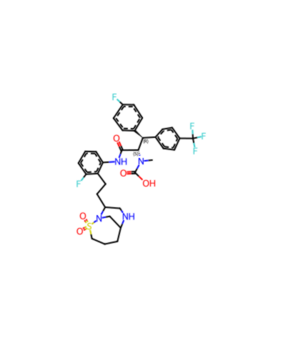 CN(C(=O)O)[C@H](C(=O)Nc1cccc(F)c1CCC1CNC2CCCS(=O)(=O)N1C2)[C@@H](c1ccc(F)cc1)c1ccc(C(F)(F)F)cc1